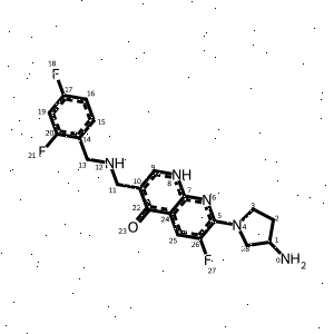 NC1CCN(c2nc3[nH]cc(CNCc4ccc(F)cc4F)c(=O)c3cc2F)C1